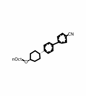 CCCCCCCCO[C@H]1CC[C@H](c2ccc(-c3ccc(C#N)cc3)cc2)CC1